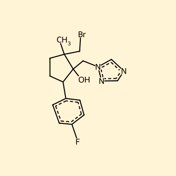 CC1(CBr)CCC(c2ccc(F)cc2)C1(O)Cn1cncn1